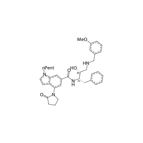 CCCCCn1ccc2c(N3CCCC3=O)cc(C(=O)N[C@@H](Cc3ccccc3)[C@H](O)CNCc3cccc(OC)c3)cc21